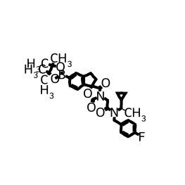 C[C@@H](C1CC1)N(Cc1ccc(F)cc1)C(=O)CN1C(=O)OC2(CCc3cc(B4OC(C)(C)C(C)(C)O4)ccc32)C1=O